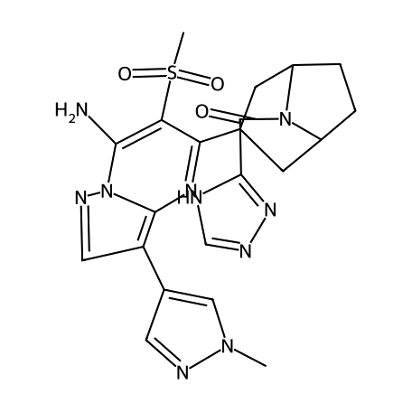 Cn1cc(-c2cnn3c(N)c(S(C)(=O)=O)c(C4CC5CCC(C4)N5C(=O)c4nnc[nH]4)nc23)cn1